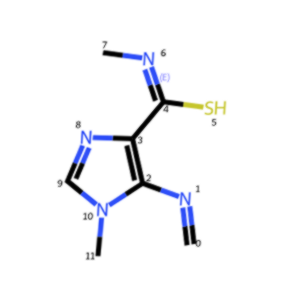 C=Nc1c(/C(S)=N\C)ncn1C